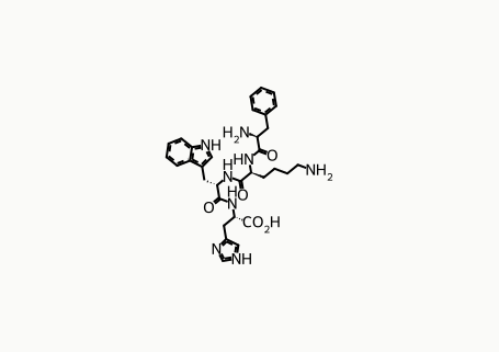 NCCCC[C@H](NC(=O)[C@@H](N)Cc1ccccc1)C(=O)N[C@@H](Cc1c[nH]c2ccccc12)C(=O)N[C@@H](Cc1c[nH]cn1)C(=O)O